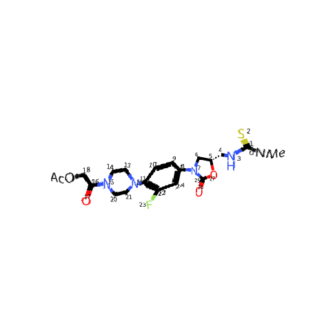 CNC(=S)NC[C@H]1CN(c2ccc(N3CCN(C(=O)COC(C)=O)CC3)c(F)c2)C(=O)O1